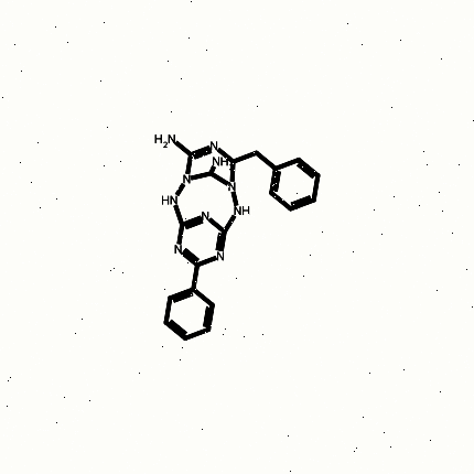 NC1=NC(Cc2ccccc2)N2Nc3nc(nc(-c4ccccc4)n3)NN1C2N